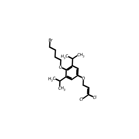 CC(C)c1cc(OCC=C(Cl)Cl)cc(C(C)C)c1OCCCCBr